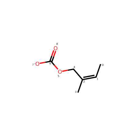 CC=C(C)COC([O])=O